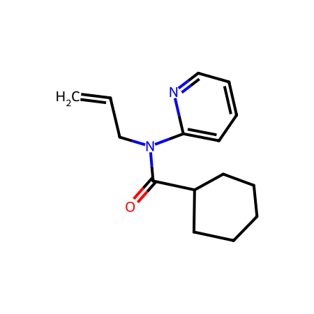 C=CCN(C(=O)C1CCCCC1)c1ccccn1